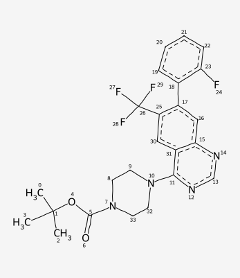 CC(C)(C)OC(=O)N1CCN(c2ncnc3cc(-c4ccccc4F)c(C(F)(F)F)cc23)CC1